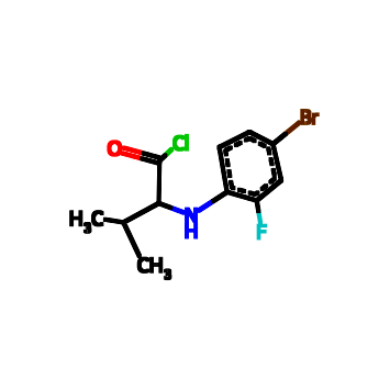 CC(C)C(Nc1ccc(Br)cc1F)C(=O)Cl